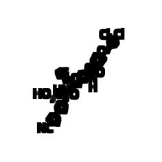 N#Cc1ccc(-c2ccc(C[C@H](NC(=O)C3Cc4cc5c(cc4CN3Cc3cccs3)OC(c3ccc(OCc4ccc(Cl)c(Cl)c4)cc3)C(=O)N5)C(=O)O)cc2)cc1